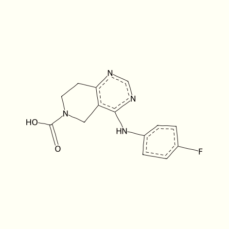 O=C(O)N1CCc2ncnc(Nc3ccc(F)cc3)c2C1